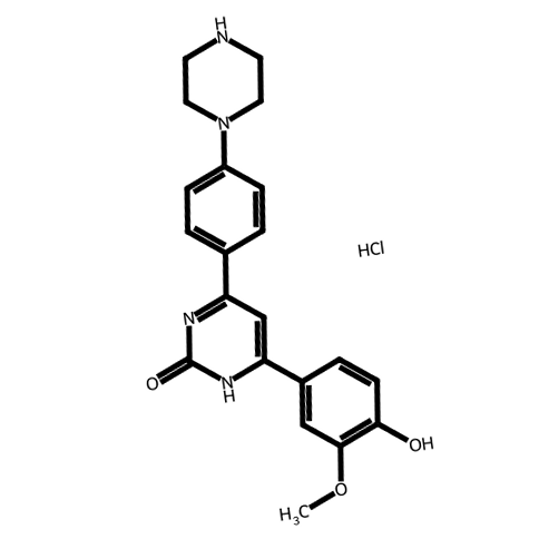 COc1cc(-c2cc(-c3ccc(N4CCNCC4)cc3)nc(=O)[nH]2)ccc1O.Cl